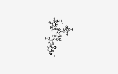 Nc1ccn(C2CC(O)C(COP(=O)(O)OC3CC(n4cnc5c(=O)[nH]c(N)nc54)OC3COP(=O)(O)O)O2)c(=O)n1